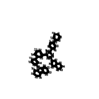 c1ccc(-c2ccc(-c3nc(-c4cccc(-c5cccc(-n6c7ccccc7c7ccccc76)c5)c4)nc(-c4ccc5ccccc5c4)n3)cc2)cc1